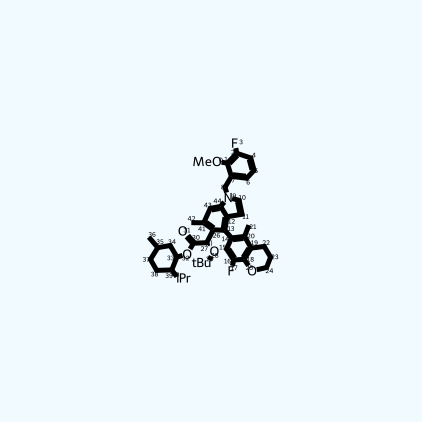 COc1c(F)cccc1Cn1ccc2c(-c3cc(F)c4c(c3C)CCCO4)c([C@H](OC(C)(C)C)C(=O)OC3CC(C)CCC3C(C)C)c(C)cc21